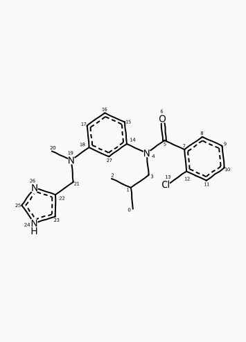 CC(C)CN(C(=O)c1ccccc1Cl)c1cccc(N(C)Cc2c[nH]cn2)c1